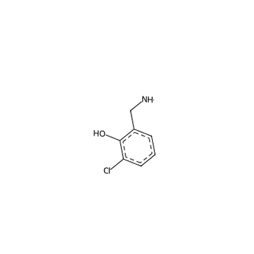 [NH]Cc1cccc(Cl)c1O